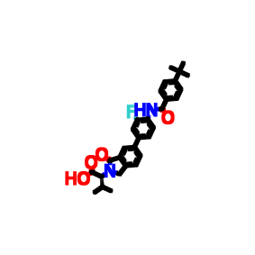 CC(C)[C@@H](C(=O)O)N1Cc2ccc(-c3ccc(NC(=O)c4ccc(C(C)(C)C)cc4)c(F)c3)cc2C1=O